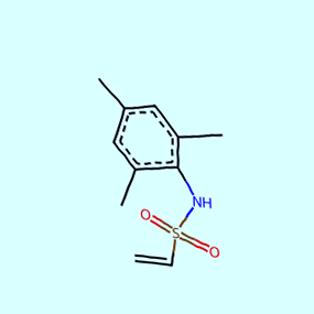 C=CS(=O)(=O)Nc1c(C)cc(C)cc1C